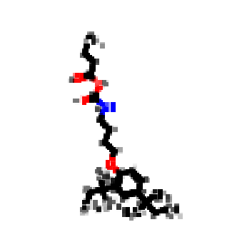 CCCC(=O)OC(=O)NCCCCOc1ccc(C(C)(C)CC)cc1C(C)(C)CC